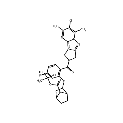 Cc1nc2c3c(nn2c(C)c1Cl)CN(C(=O)c1ccc(F)cc1OC1CC2CCC1N2C(=O)OC(C)(C)C)C3